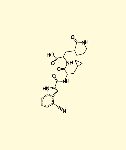 N#Cc1cccc2[nH]c(C(=O)NC(CC3CC3)C(=O)NC(CC3CCCNC3=O)C(=O)O)cc12